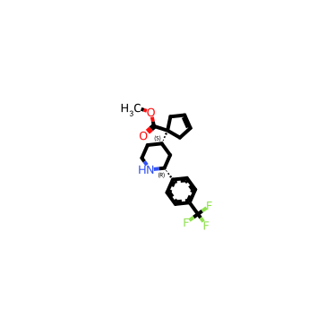 COC(=O)C1([C@H]2CCN[C@@H](c3ccc(C(F)(F)F)cc3)C2)CC=CC1